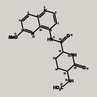 COc1ccc2nccc(NC(=O)C3CCC(NC(=O)O)C(=O)N3)c2n1